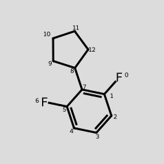 Fc1cccc(F)c1C1CCCC1